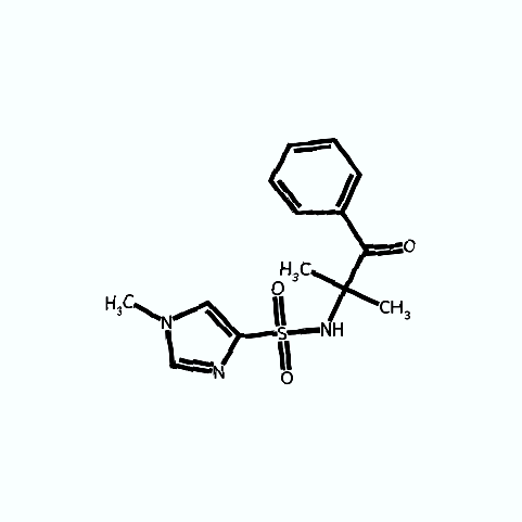 Cn1cnc(S(=O)(=O)NC(C)(C)C(=O)c2ccccc2)c1